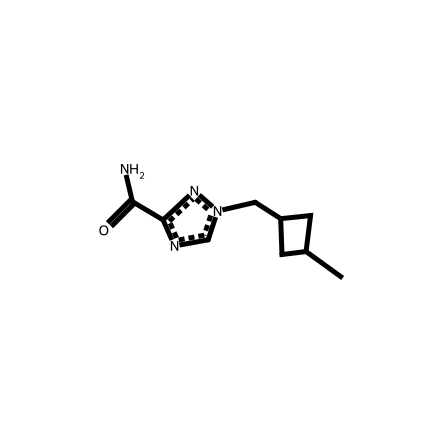 CC1CC(Cn2cnc(C(N)=O)n2)C1